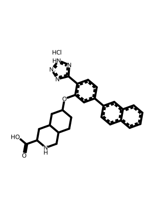 Cl.O=C(O)C1CC2CC(Oc3cc(-c4ccc5ccccc5c4)ccc3-c3nn[nH]n3)CCC2CN1